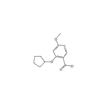 COc1ccc(C(=O)Cl)c(OC2CCCC2)c1